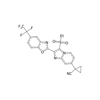 CCS(=O)(=O)c1c(-c2nc3cc(C(F)(F)C(F)(F)F)ccc3o2)nc2cc(C3(C#N)CC3)ccn12